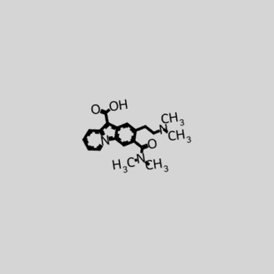 CN(C)CCc1cc2c(C(=O)O)c3ccccn3c2cc1C(=O)N(C)C